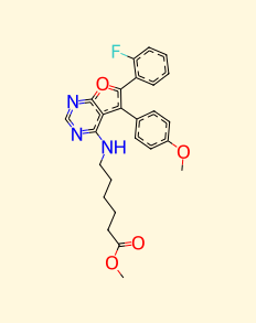 COC(=O)CCCCCNc1ncnc2oc(-c3ccccc3F)c(-c3ccc(OC)cc3)c12